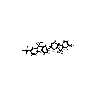 CC(C)(C)C1=CC2C(C=C1)c1ccc(-c3ccc4c(c3)C(C)(C)c3cc(Br)ccc3-4)cc1C2(C)C